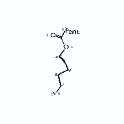 CCCC(C)C(=O)OCCCCC(C)C